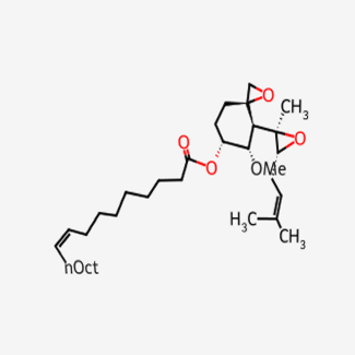 CCCCCCCC/C=C\CCCCCCCC(=O)O[C@@H]1CC[C@]2(CO2)[C@@H]([C@@]2(C)O[C@@H]2CC=C(C)C)[C@@H]1OC